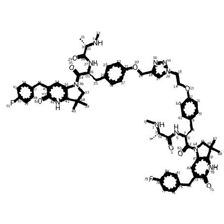 CN[C@@H](C)C(=O)N[C@@H](Cc1ccc(OCCn2cc(COc3ccc(C[C@H](NC(=O)[C@H](C)NC)C(=O)N4CC(C)(C)c5[nH]c(=O)c(Cc6ccc(F)cc6)cc54)cc3)nn2)cc1)C(=O)N1CC(C)(C)c2[nH]c(=O)c(Cc3ccc(F)cc3)cc21